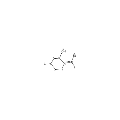 CC/C(C)=C1/CCC(C)CC1O